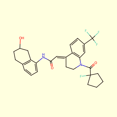 O=C(C=C1CCN(C(=O)C2(F)CCCC2)c2cc(C(F)(F)F)ccc21)Nc1cccc2c1CC(O)CC2